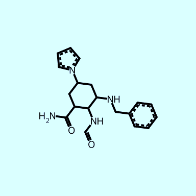 NC(=O)C1CC(n2cccc2)CC(NCc2ccccc2)C1NC=O